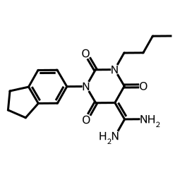 CCCCN1C(=O)C(=C(N)N)C(=O)N(c2ccc3c(c2)CCC3)C1=O